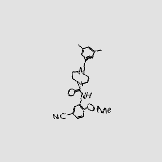 COc1ccc(C#N)cc1NC(=O)N1CCN(c2cc(C)cc(C)c2)CC1